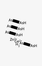 [As-]=[AsH].[As-]=[AsH].[As-]=[AsH].[As-]=[AsH].[GeH2+2].[Zn+2]